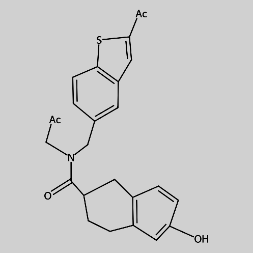 CC(=O)CN(Cc1ccc2sc(C(C)=O)cc2c1)C(=O)C1CCc2cc(O)ccc2C1